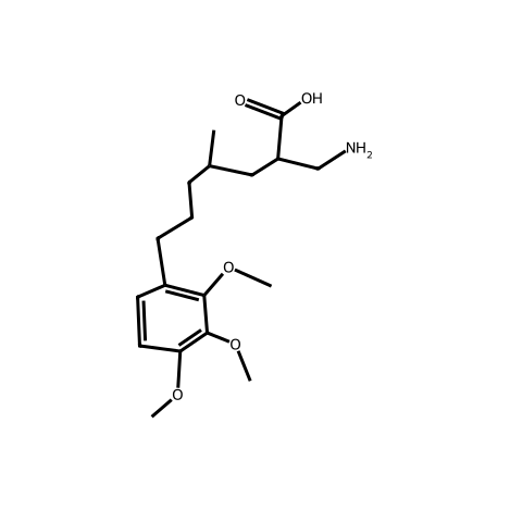 COc1ccc(CCCC(C)CC(CN)C(=O)O)c(OC)c1OC